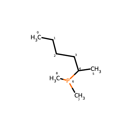 CCCCC(C)P(C)C